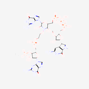 COC1C(O)[C@H](C2C=[N+](C)c3c2cc(N)[nH]c3=O)O[C@@H]1COP(=O)(O)OP(=O)(O)OP(=O)(O)OCC1OC(n2cnc3c(=O)[nH]c(N)nc32)C(O)N(OCCOP(=O)(O)OC[C@H]2O[C@@H](n3cnc4c(=O)[nH]c(N)nc43)[C@@H](O)C2OP(=O)(O)OC)C1O